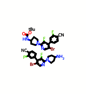 CC(C)(C)OC(=O)NC1CCN(c2ncc(Br)c(-c3ccc(C#N)c(F)c3)c2F)CC1.N#Cc1ccc(-c2c(Br)cnc(N3CCC(N)CC3)c2F)cc1F